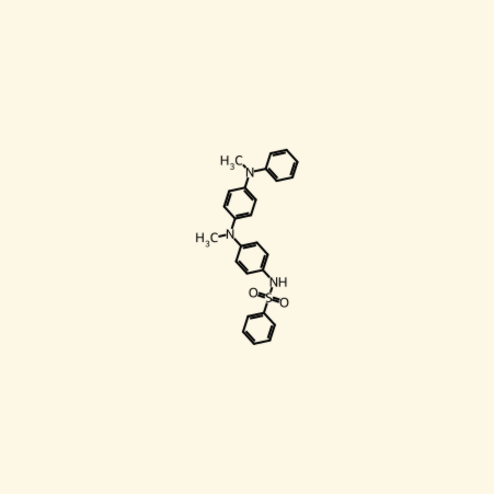 CN(c1ccccc1)c1ccc(N(C)c2ccc(NS(=O)(=O)c3ccccc3)cc2)cc1